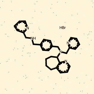 Br.c1ccc(CNCc2ccc(CN(Cc3ccccn3)C3CCCCc4cccnc43)cc2)nc1